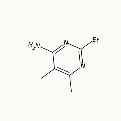 CCc1nc(C)c(C)c(N)n1